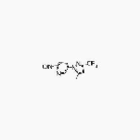 Cc1cc(C(F)(F)F)nn1-c1ccc(N=O)nc1